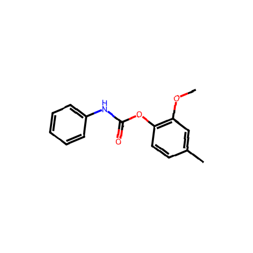 COc1cc(C)ccc1OC(=O)Nc1ccccc1